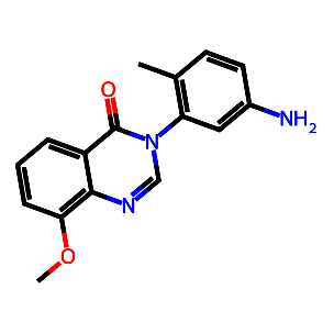 COc1cccc2c(=O)n(-c3cc(N)ccc3C)cnc12